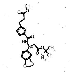 COC(=O)CCc1ccc(C(=O)N[C@@H](CC(=O)OC(C)(C)C)c2ccc3c(c2)OCO3)s1